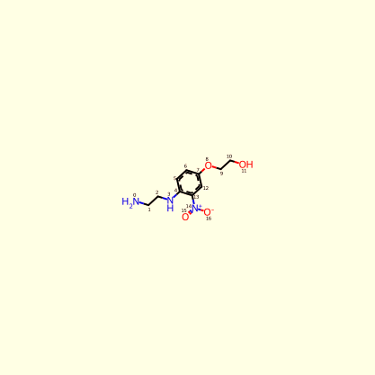 NCCNc1ccc(OCCO)cc1[N+](=O)[O-]